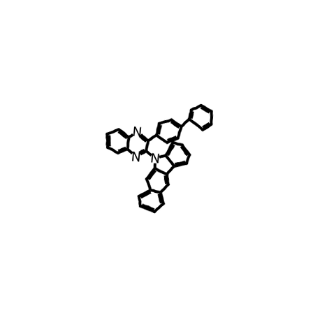 c1ccc(-c2ccc(-c3nc4ccccc4nc3-n3c4ccccc4c4cc5ccccc5cc43)cc2)cc1